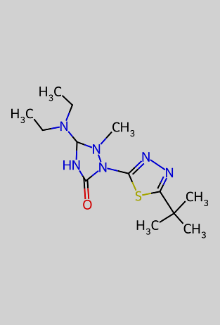 CCN(CC)C1NC(=O)N(c2nnc(C(C)(C)C)s2)N1C